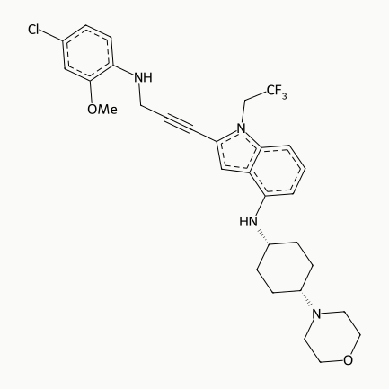 COc1cc(Cl)ccc1NCC#Cc1cc2c(N[C@H]3CC[C@@H](N4CCOCC4)CC3)cccc2n1CC(F)(F)F